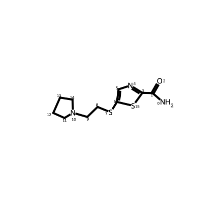 NC(=O)c1ncc(SCCN2CCCC2)s1